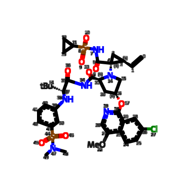 C=C[C@@H]1C[C@@]1(C(=O)NS(=O)(=O)C1CC1)N1C[C@H](Oc2ncc(OC)c3ccc(Cl)cc23)C[C@H]1C(=O)NC(=O)[C@H](Nc1cccc(S(=O)(=O)N(C)C)c1)C(C)(C)C